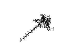 CCCCCCCCCCCCCCCCOC(CO)C(OCC(C)O)OC1=C(O)C(=O)O[C@@H]1[C@@H](O)CO